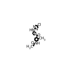 C=CC(=O)Nc1ccc(C(=O)N2CC[C@H](Nc3ncc(Cl)cn3)C2)c(C)c1